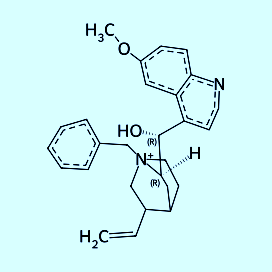 C=CC1C[N+]2(Cc3ccccc3)CCC1C[C@@H]2[C@H](O)c1ccnc2ccc(OC)cc12